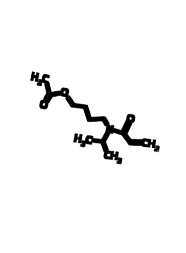 C=CC(=O)N(CCCCOC(C)=O)C(C)C